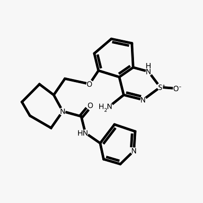 NC1=N[S+]([O-])Nc2cccc(OCC3CCCCN3C(=O)Nc3ccncc3)c21